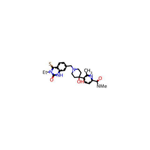 CCn1c(=O)[nH]c2cc(CN3CCC(O)(c4ccc(C(=O)NC)nc4C)CC3)ccc2c1=S